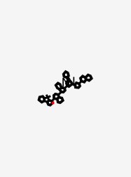 CC1(C)c2ccccc2-c2cccc(-c3ccc(-c4ccc(-c5cc(-c6cccc(-c7ccc8ccccc8c7)c6)nc(-c6ccccc6)n5)c5ccccc45)c4ccccc34)c21